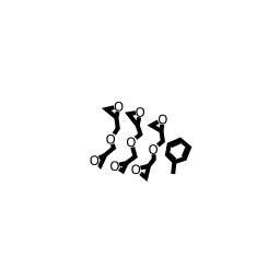 C(OCC1CO1)C1CO1.C(OCC1CO1)C1CO1.C(OCC1CO1)C1CO1.Cc1ccccc1